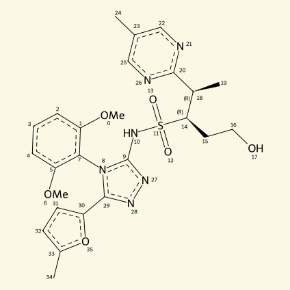 COc1cccc(OC)c1-n1c(NS(=O)(=O)[C@H](CCO)[C@H](C)c2ncc(C)cn2)nnc1-c1ccc(C)o1